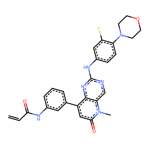 C=CC(=O)Nc1cccc(-c2cc(=O)n(C)c3cnc(Nc4ccc(N5CCOCC5)c(F)c4)nc23)c1